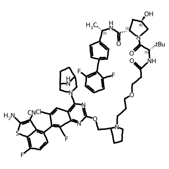 C[C@H](NC(=O)[C@@H]1C[C@@H](O)CN1C(=O)[C@@H](NC(=O)CCOCCCN1CCCC1COc1nc(N2CC3CCC(C2)N3)c2cc(Cl)c(-c3ccc(F)c4sc(N)c(C#N)c34)c(F)c2n1)C(C)(C)C)c1ccc(-c2c(F)cccc2F)cc1